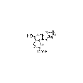 COc1ccc(C(O)C(F)(F)F)c(NCc2cscn2)c1